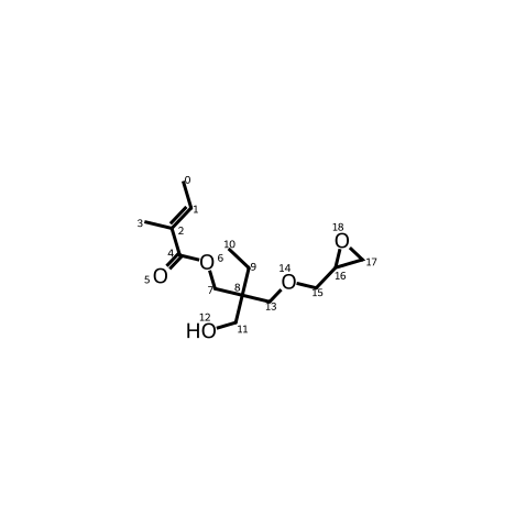 CC=C(C)C(=O)OCC(CC)(CO)COCC1CO1